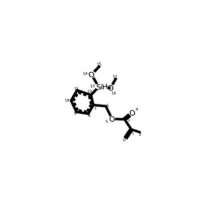 C=C(C)C(=O)OCc1ccccc1[SiH](OC)OC